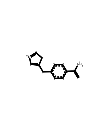 C=C(N)c1ccc(CC2=CN=CC2)cc1